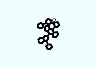 c1ccc(-c2ccc3oc4cccc(-c5c6ccccc6c(-c6cc(-c7ccccc7)c7ccccc7c6)c6ccccc56)c4c3c2)cc1